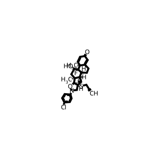 C#CCSC(=O)[C@@]12ON(c3ccc(Cl)cc3)C[C@@H]1C[C@H]1[C@@H]3CCC4=CC(=O)C=C[C@]4(C)[C@@]3(F)[C@@H](O)C[C@@]12C